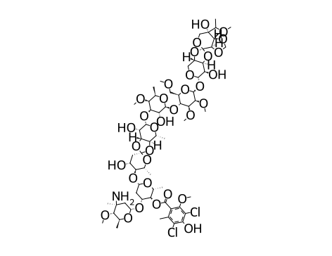 COC[C@H]1O[C@@H](O[C@@H]2OC[C@@H]3O[C@@]4(OC[C@@](O)(C(C)OC)[C@@H]5OCO[C@H]54)O[C@H]3[C@H]2O)[C@@H](OC)[C@@H](OC)[C@@H]1O[C@@H]1O[C@H](C)[C@H](OC)[C@H](O[C@@H]2O[C@H](C)[C@H]3O[C@]4(C[C@@H](O)[C@H](O[C@H]5C[C@@H](O[C@H]6C[C@](C)(N)[C@@H](OC)[C@H](C)O6)[C@H](OC(=O)c6c(C)c(Cl)c(O)c(Cl)c6OC)[C@@H](C)O5)[C@@H](C)O4)O[C@@H]3[C@@H]2O)[C@H]1O